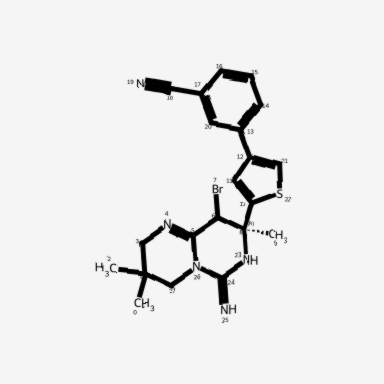 CC1(C)CN=C2C(Br)[C@@](C)(c3cc(-c4cccc(C#N)c4)cs3)NC(=N)N2C1